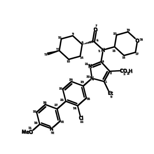 CCc1c(C(=O)O)c(N(C(=O)[C@H]2CC[C@H](C)CC2)C2CCOCC2)nn1-c1ccc(-c2ccc(OC)nc2)c(Cl)c1